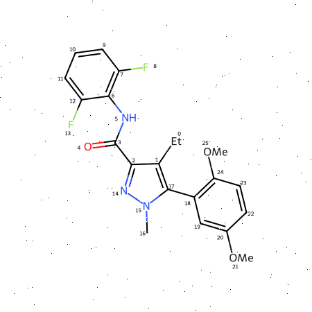 CCc1c(C(=O)Nc2c(F)cccc2F)nn(C)c1-c1cc(OC)ccc1OC